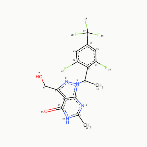 Cc1nc2c(c(CO)nn2C(C)c2c(F)cc(C(F)(F)F)cc2F)c(=O)[nH]1